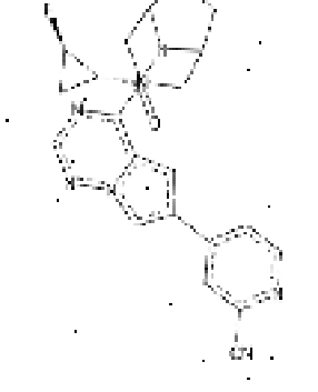 N#Cc1cc(-c2cc3c(N4CC5CCC(C4)N5C(=O)[C@@H]4C[C@H]4F)ncnn3c2)ccn1